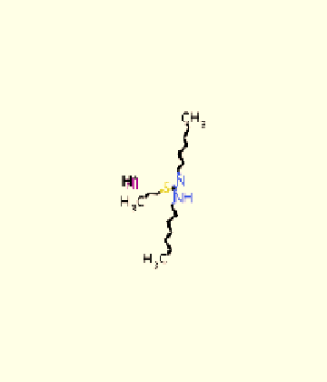 CCCCCCCN=C(NCCCCCCC)SCCC.I.[H+].[I-]